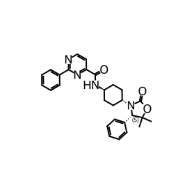 CC1(C)OC(=O)N([C@H]2CC[C@H](NC(=O)c3ccnc(-c4ccccc4)n3)CC2)[C@H]1c1ccccc1